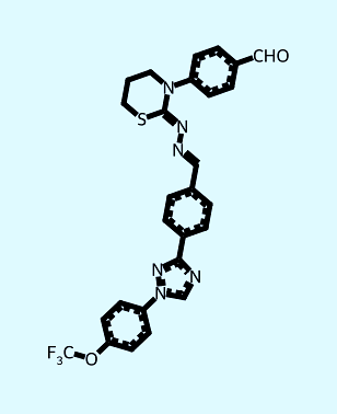 O=Cc1ccc(N2CCCS/C2=N\N=C\c2ccc(-c3ncn(-c4ccc(OC(F)(F)F)cc4)n3)cc2)cc1